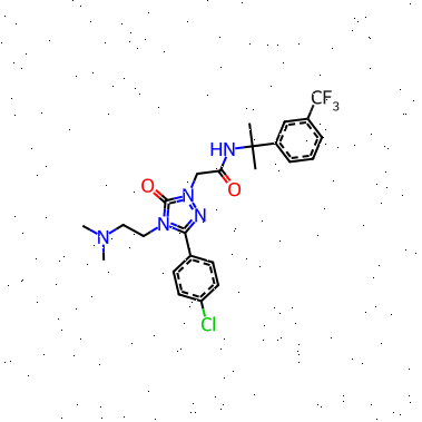 CN(C)CCn1c(-c2ccc(Cl)cc2)nn(CC(=O)NC(C)(C)c2cccc(C(F)(F)F)c2)c1=O